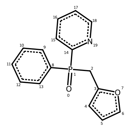 O=P(Cc1ccco1)(c1ccccc1)c1ccccn1